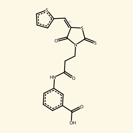 O=C(CCN1C(=O)/C(=C\c2cccs2)SC1=S)Nc1cccc(C(=O)O)c1